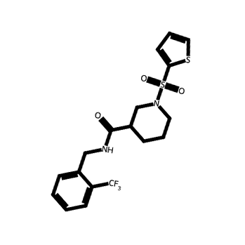 O=C(NCc1ccccc1C(F)(F)F)C1CCCN(S(=O)(=O)c2cccs2)C1